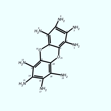 Nc1c(N)c(N)c2c(c1N)Oc1c(N)c(N)c(N)c(N)c1O2